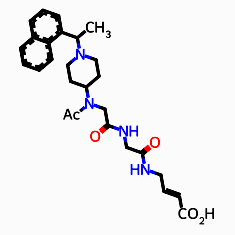 CC(=O)N(CC(=O)NCC(=O)NC/C=C/C(=O)O)C1CCN(C(C)c2cccc3ccccc23)CC1